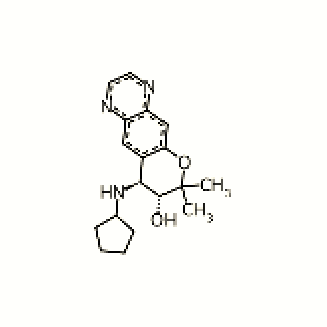 CC1(C)Oc2cc3nccnc3cc2[C@H](NC2CCCC2)[C@H]1O